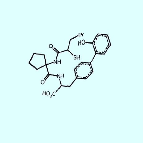 CC(C)CC(S)C(=O)NC1(C(=O)NC(Cc2ccc(-c3ccccc3O)cc2)C(=O)O)CCCC1